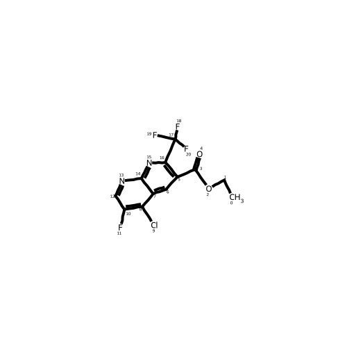 CCOC(=O)c1cc2c(Cl)c(F)cnc2nc1C(F)(F)F